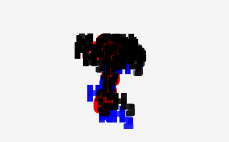 CO[C@H]1C[C@@H]2CC[C@@H](C)[C@@](O)(O2)C(=O)C(=O)N2CCCC[C@H]2C(=O)O[C@H]([C@H](C)C[C@@H]2CC[C@@H](OC(=O)NCc3cnc(N4CCN(C(=O)CCOCCN5CCN(c6ncc(C(=O)NCCS(=O)(=O)c7ccc(C(=O)N8CCOc9ccc(-c%10ccc(N)nc%10)cc9C8)c(C)c7)cn6)CC5)CC4)nc3)[C@H](OC)C2)C[C@@H](O)[C@H](C)/C=C(\C)[C@@H](O)[C@@H](OC)C(=O)[C@H](C)C[C@H](C)/C=C/C=C/C=C/1C